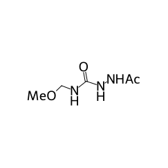 COCNC(=O)NNC(C)=O